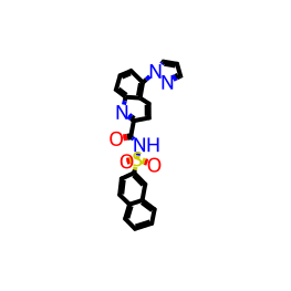 O=C(NS(=O)(=O)c1ccc2ccccc2c1)c1ccc2c(-n3cccn3)cccc2n1